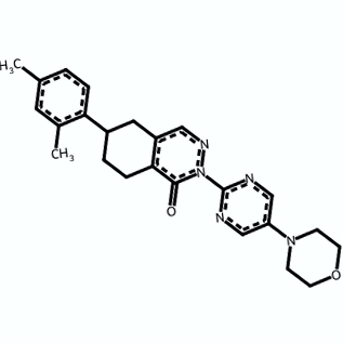 Cc1ccc(C2CCc3c(cnn(-c4ncc(N5CCOCC5)cn4)c3=O)C2)c(C)c1